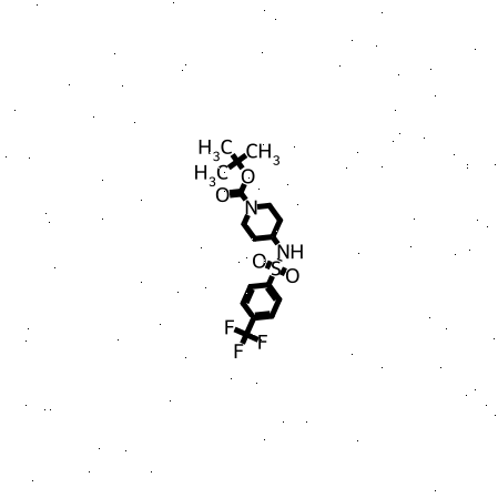 CC(C)(C)OC(=O)N1CCC(NS(=O)(=O)c2ccc(C(F)(F)F)cc2)CC1